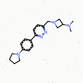 CN(C)C1CN(Cc2ccc(-c3ccc(N4CCCC4)cc3)nn2)C1